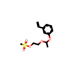 C=Cc1cccc(OC(C)OCCOS(C)(=O)=O)c1